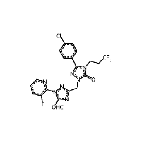 O=Cc1nc(Cn2nc(-c3ccc(Cl)cc3)n(CCC(F)(F)F)c2=O)nn1-c1ncccc1F